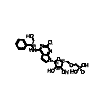 O=P(O)(O)COC[C@H]1O[C@@H](n2ccc3c(N[C@@H](CO)c4ccccc4)nc(Cl)nc32)[C@H](O)[C@@H]1O